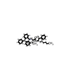 CCCCNC[C@H](NC(=O)[C@@H](/N=C/c1ccccc1P(c1ccccc1)c1ccccc1)C(C)C)C(=O)c1ccccc1